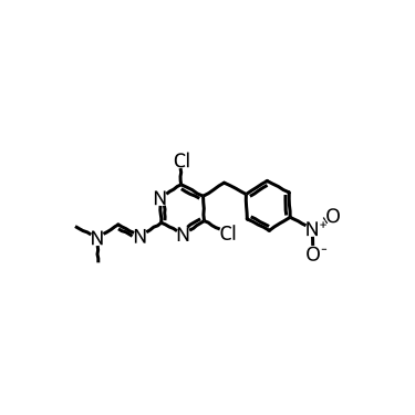 CN(C)/C=N/c1nc(Cl)c(Cc2ccc([N+](=O)[O-])cc2)c(Cl)n1